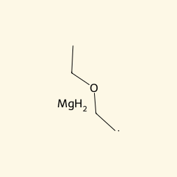 [CH2]COCC.[MgH2]